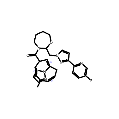 CC1/C=C\C/C(n2nccn2)=C/C(C(=O)N2CCCCOC2Cn2ccc(-c3ccc(F)cn3)n2)/C=C\1